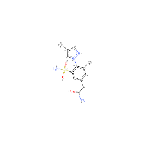 N#Cc1cc(CC(N)=O)cc(S(N)(=O)=O)c1-n1cc(C(F)(F)F)cn1